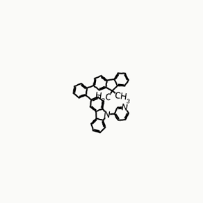 CC1(C)c2ccccc2-c2ccc(-c3ccccc3-c3ccc4c(c3)c3ccccc3n4-c3cccnc3)cc21